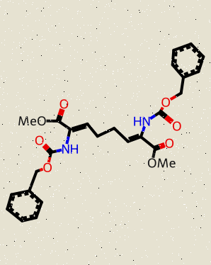 COC(=O)/C(=C/CC/C=C(\NC(=O)OCc1ccccc1)C(=O)OC)NC(=O)OCc1ccccc1